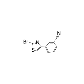 N#Cc1cccc(-c2csc(Br)n2)c1